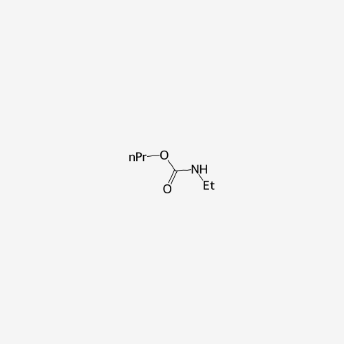 [CH2]CCOC(=O)NCC